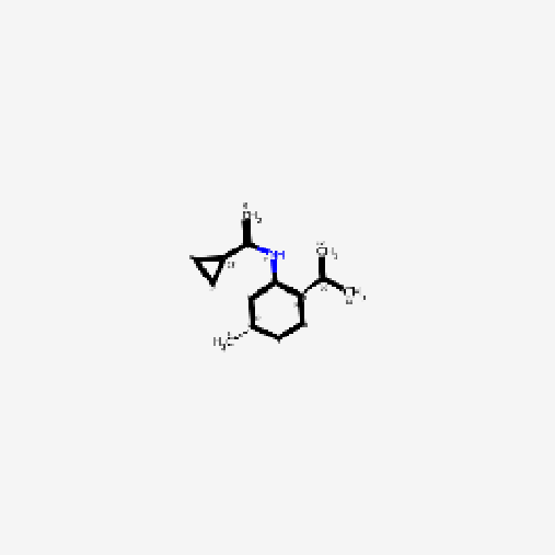 C=C(NC1C[C@@H](C)CC[C@@H]1C(C)C)C1CC1